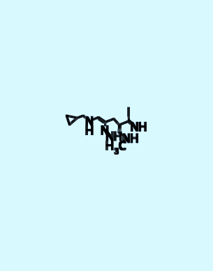 CN/C=C(/C/C(=C/NCC1CC1)N=N)C(=N)I